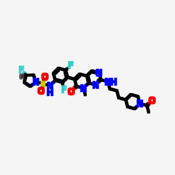 CC(=O)N1CCC(CCCNc2ncc3cc(-c4c(F)ccc(NS(=O)(=O)N5CC[C@@H](F)C5)c4F)c(=O)n(C)c3n2)CC1